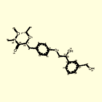 CCO[C@@H](Cc1ccc(OC[C@@H](O)c2cccc(CO)c2)cc1)C(=O)N(C)OC